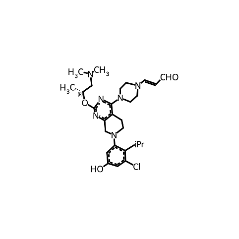 CC(C)c1c(Cl)cc(O)cc1N1CCc2c(nc(O[C@H](C)CN(C)C)nc2N2CCN(C=CC=O)CC2)C1